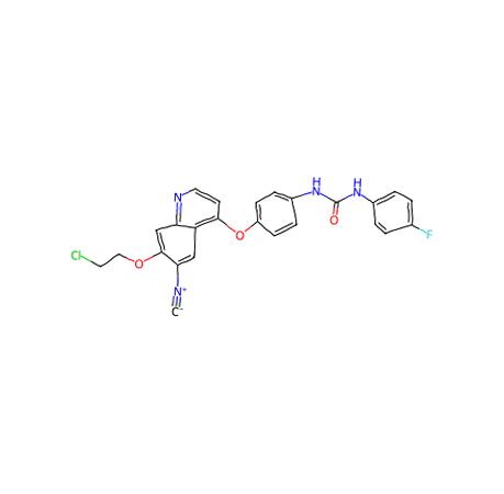 [C-]#[N+]c1cc2c(Oc3ccc(NC(=O)Nc4ccc(F)cc4)cc3)ccnc2cc1OCCCl